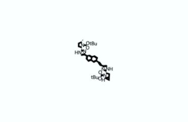 C[C@H]1CC[C@@H](c2nc(-c3ccc4cc(C#Cc5c[nH]c([C@@H]6CC7C[C@H]7N6C(=O)OC(C)(C)C)n5)ccc4c3)c[nH]2)N1C(=O)OC(C)(C)C